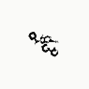 NC1=N[C@@]2(c3cccc(-c4cccnc4F)c3)CN(C(=O)c3ccccc3)C[C@H]2CS1